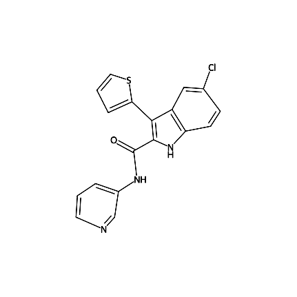 O=C(Nc1cccnc1)c1[nH]c2ccc(Cl)cc2c1-c1cccs1